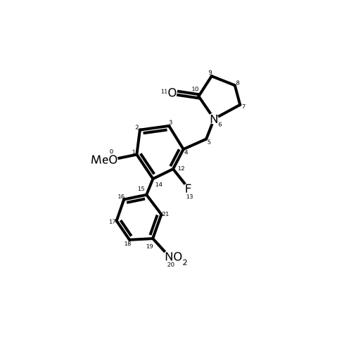 COc1ccc(CN2CCCC2=O)c(F)c1-c1cccc([N+](=O)[O-])c1